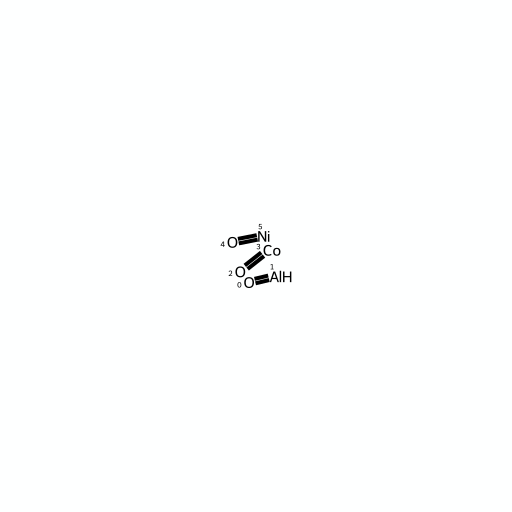 [O]=[AlH].[O]=[Co].[O]=[Ni]